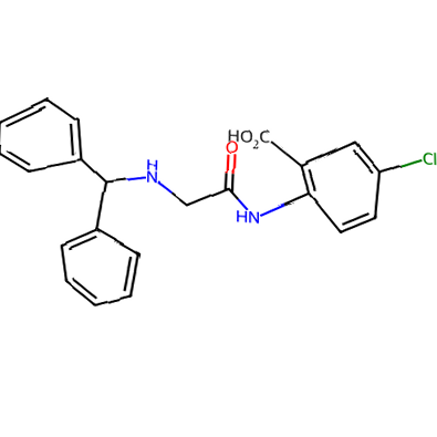 O=C(CNC(c1ccccc1)c1ccccc1)Nc1ccc(Cl)cc1C(=O)O